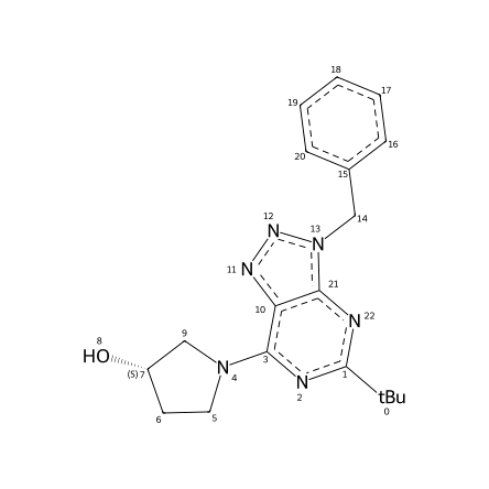 CC(C)(C)c1nc(N2CC[C@H](O)C2)c2nnn(Cc3ccccc3)c2n1